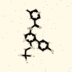 Cc1cncc(C(=O)Nc2cnc(OCC(F)(F)F)c(-c3ccc(Cl)cc3)c2)c1